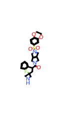 O=C(C(CC1(F)CNC1)c1ccccc1)N1CC2=C(C1)CN(S(=O)(=O)c1ccc3c(c1)OCCO3)C2